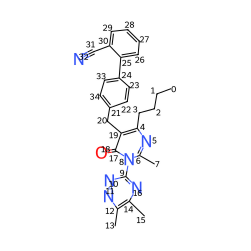 CCCCc1nc(C)n(-c2nnc(C)c(C)n2)c(=O)c1Cc1ccc(-c2ccccc2C#N)cc1